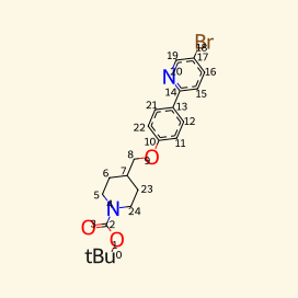 CC(C)(C)OC(=O)N1CCC(COc2ccc(-c3ccc(Br)cn3)cc2)CC1